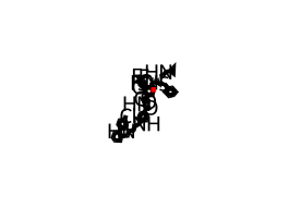 O=C(NS(=O)(=O)c1ccc(N[C@H](CCNC2CC2)CSc2ccccc2)c(S(=O)(=O)C(F)(F)F)c1)c1ccc(NCCNCC2=C(c3ccc(Cl)cc3)CCCC2)cc1